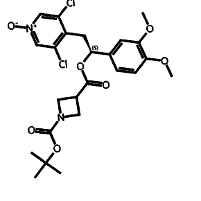 COc1ccc([C@H](Cc2c(Cl)c[n+]([O-])cc2Cl)OC(=O)C2CN(C(=O)OC(C)(C)C)C2)cc1OC